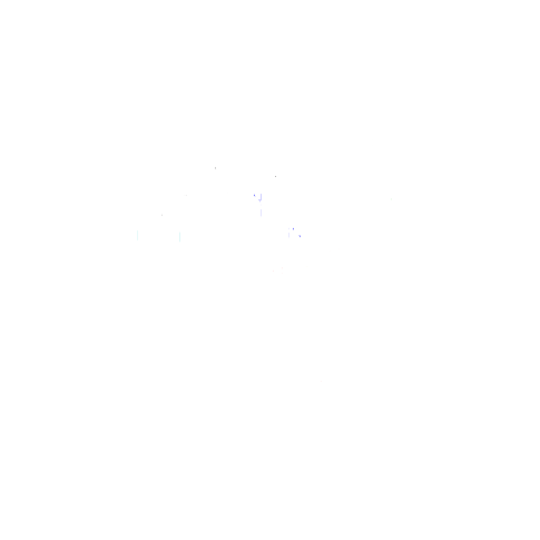 CS(=O)(=O)c1ccc(S(=O)(=O)Nc2cc(Cl)c(Cl)cc2C(=O)NC2CC3(C(F)(F)F)CC2C3)cc1